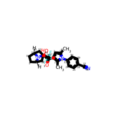 Cc1cc(C(=O)CN2[C@@H]3CC[C@H]2C[C@@](O)(C(F)(F)F)C3)c(C)n1-c1ccc(C#N)cc1